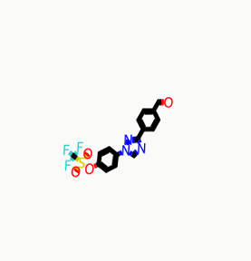 O=Cc1ccc(-c2ncn(-c3ccc(OS(=O)(=O)C(F)(F)F)cc3)n2)cc1